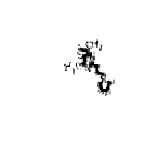 Cc1csc2c(C)nc(/C=C/CN3CCCC3)nc12